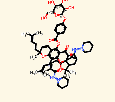 CC(C)=CCCC1(C)C=Cc2c(c(CC=C(C)C)c3c(c2OC(=O)c2ccc(O[C@@H]4O[C@H](CO)[C@@H](O)[C@@H](O)[C@H]4O)cc2)C(=O)C2C(NN4CCCCC4)C4CC5C(C)(C)OC(C/C=C(/C)C(=O)NN6CCCCC6)(C4=O)C25O3)O1